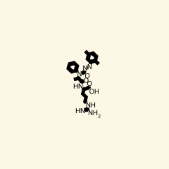 Cc1ccc(C)c(/N=N/C(=O)N(c2ccccc2)C(C)C(=O)NC(CCCNC(=N)N)C(=O)O)c1